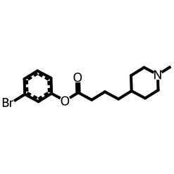 CN1CCC(CCCC(=O)Oc2cccc(Br)c2)CC1